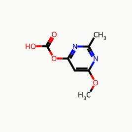 COc1cc(OC(=O)O)nc(C)n1